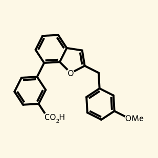 COc1cccc(Cc2cc3cccc(-c4cccc(C(=O)O)c4)c3o2)c1